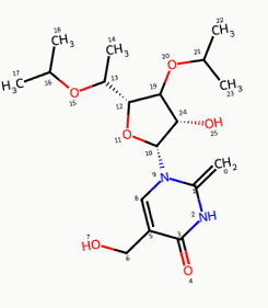 C=C1NC(=O)C(CO)=CN1[C@@H]1O[C@H](C(C)OC(C)C)C(OC(C)C)[C@@H]1O